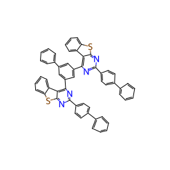 c1ccc(-c2ccc(-c3nc(-c4cc(-c5ccccc5)cc(-c5nc(-c6ccc(-c7ccccc7)cc6)nc6sc7ccccc7c56)c4)c4c(n3)sc3ccccc34)cc2)cc1